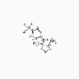 CC1(Nc2cnc(C(F)(F)F)cn2)CCC[C@@H]1N